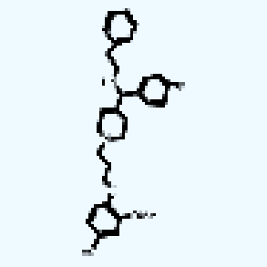 COc1cc(C(C)=O)ccc1OCCCN1CCC(C(NCCc2ccccc2)c2ccc(F)cc2)CC1